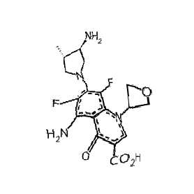 C[C@H]1CN(c2c(F)c(N)c3c(=O)c(C(=O)O)cn(C4COC4)c3c2F)C[C@@H]1N